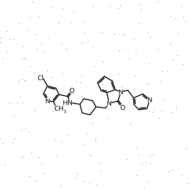 Cc1ncc(Cl)cc1C(=O)NC1CCC(Cn2c(=O)n(Cc3cccnc3)c3ccccc32)CC1